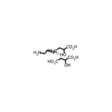 NCCN.O=C(O)CC(O)C(=O)O.O=C(O)CC(O)C(=O)O